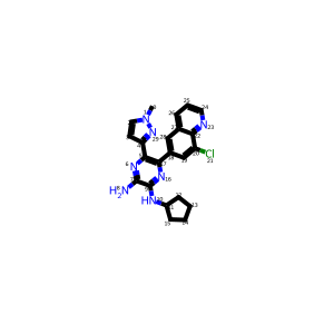 Cn1ccc(-c2nc(N)c(NC3CCCC3)nc2-c2cc(Cl)c3ncccc3c2)n1